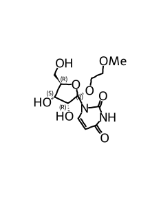 COCCO[C@@]1(n2ccc(=O)[nH]c2=O)O[C@H](CO)[C@@H](O)[C@H]1O